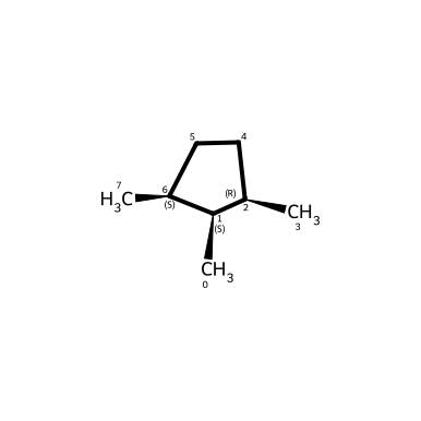 C[C@@H]1[C@H](C)CC[C@@H]1C